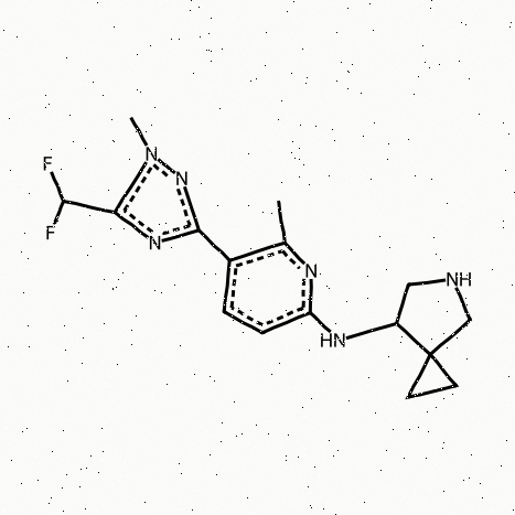 Cc1nc(NC2CNCC23CC3)ccc1-c1nc(C(F)F)n(C)n1